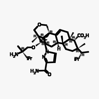 CC(C)[C@@H](C)[C@@]1(C)CC[C@]2(C)[C@H]3CC[C@@H]4[C@@]5(COC[C@]4(C)[C@@H](OC[C@](C)(N)C(C)C)[C@H](n4ccc(C(N)=O)n4)C5)C3=CC[C@@]2(C)[C@@H]1C(=O)O